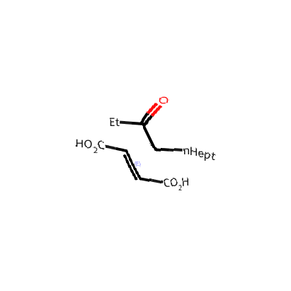 CCCCCCCCC(=O)CC.O=C(O)/C=C/C(=O)O